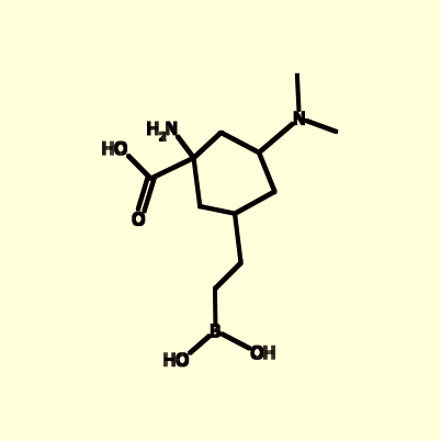 CN(C)C1CC(CCB(O)O)CC(N)(C(=O)O)C1